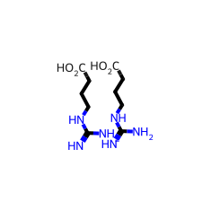 N=C(N)NCCCC(=O)O.N=C(N)NCCCC(=O)O